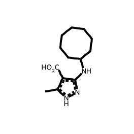 Cc1[nH]nc(NC2CCCCCCC2)c1C(=O)O